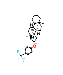 C[C@]12CC[C@H]3[C@@H](CC[C@H]4CCCC[C@@]43C)[C@@H]1C[C@H](Oc1ccc(C(F)(F)F)cc1)C2